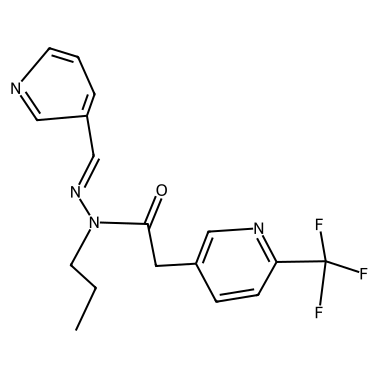 CCCN(/N=C/c1cccnc1)C(=O)Cc1ccc(C(F)(F)F)nc1